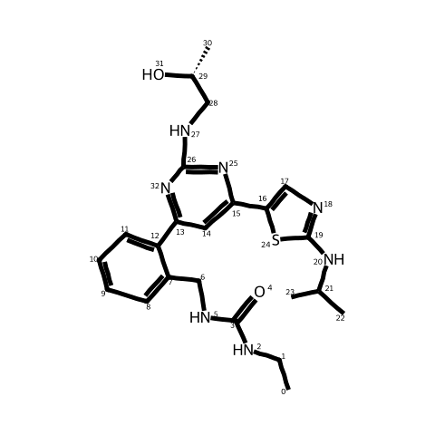 CCNC(=O)NCc1ccccc1-c1cc(-c2cnc(NC(C)C)s2)nc(NC[C@@H](C)O)n1